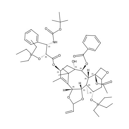 C=CC1O[C@@H]2C3=C(C)[C@@H](OC(=O)[C@H](O[Si](CC)(CC)CC)[C@@H](NC(=O)OC(C)(C)C)c4ccccc4)C[C@@](O)([C@@H](OC(=O)c4ccccc4)[C@H]4[C@@](C)([C@@H](O[Si](CC)(CC)CC)CC5OC[C@]54OC(C)=O)[C@@H]2O1)C3(C)C